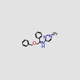 CC(C)N1C=CC(N[C@@H](COCc2ccccc2)c2ccccc2)=NC1